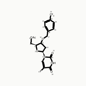 CC(=O)OC[C@@H]1O[C@H](n2cc(F)c(=O)[nH]c2=O)CC1OCc1ccc(C(F)(F)F)cc1